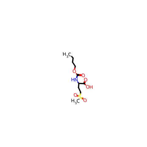 CCCCOC(=O)NC(CCS(C)(=O)=O)C(=O)O